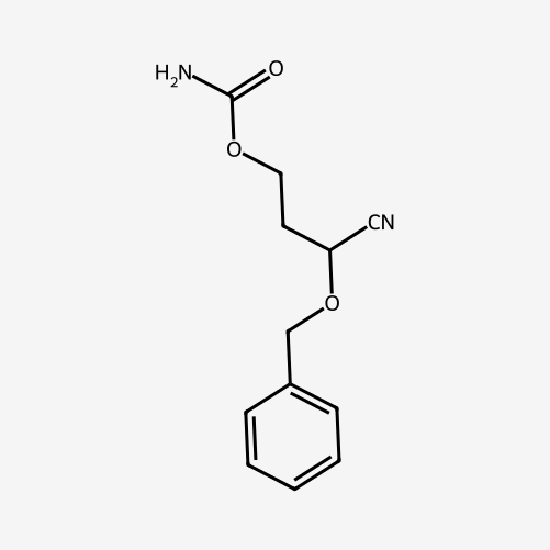 N#CC(CCOC(N)=O)OCc1ccccc1